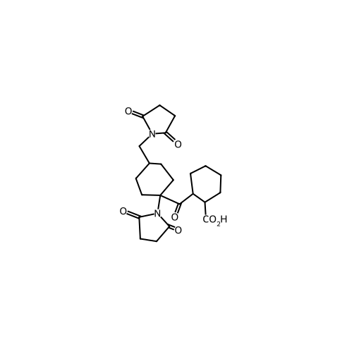 O=C(O)C1CCCCC1C(=O)C1(N2C(=O)CCC2=O)CCC(CN2C(=O)CCC2=O)CC1